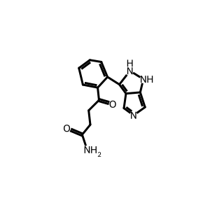 NC(=O)CCC(=O)c1ccccc1-c1[nH][nH]c2cncc1-2